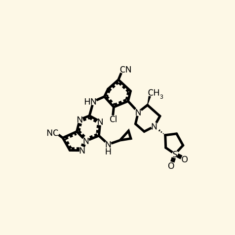 C[C@H]1CN([C@@H]2CCS(=O)(=O)C2)CCN1c1cc(C#N)cc(Nc2nc(NC3CC3)n3ncc(C#N)c3n2)c1Cl